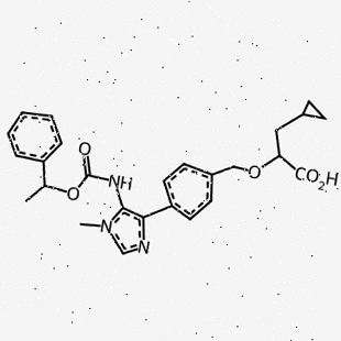 CC(OC(=O)Nc1c(-c2ccc(COC(CC3CC3)C(=O)O)cc2)ncn1C)c1ccccc1